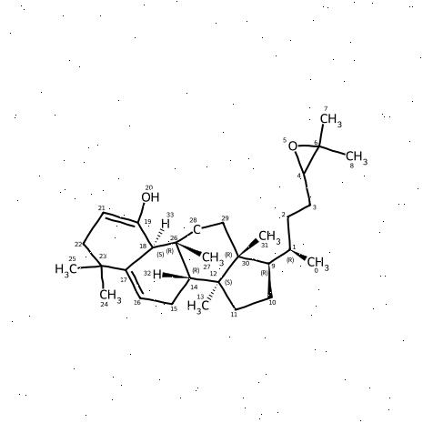 C[C@H](CCC1OC1(C)C)[C@H]1CC[C@@]2(C)[C@@H]3CC=C4[C@@H](C(O)=CCC4(C)C)[C@]3(C)CC[C@]12C